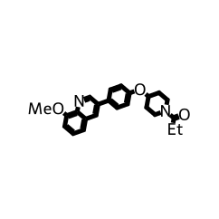 CCC(=O)N1CCC(Oc2ccc(-c3cnc4c(OC)cccc4c3)cc2)CC1